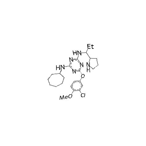 CCC(Nc1nc(NC2CCCCCC2)nc(Oc2ccc(OC)c(Cl)c2)n1)C1CCCN1